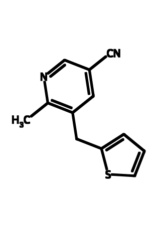 Cc1ncc(C#N)cc1Cc1cccs1